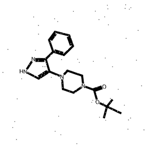 CC(C)(C)OC(=O)N1CCN(c2c[nH]nc2-c2ccccc2)CC1